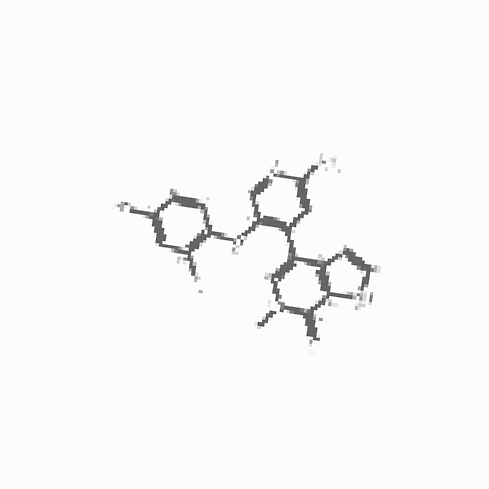 Cn1cc(-c2cc(N)ncc2Oc2ccc(F)cc2F)c2cc[nH]c2c1=O